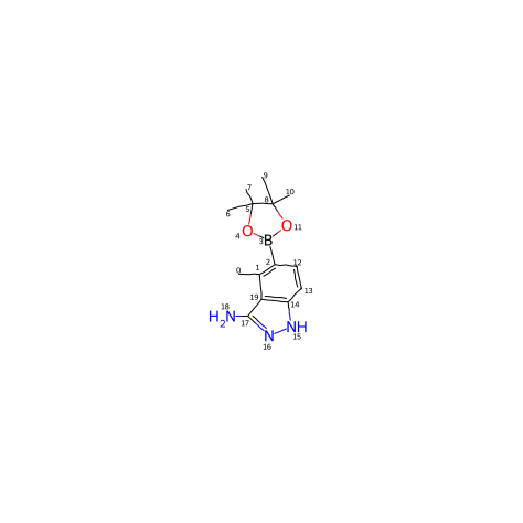 Cc1c(B2OC(C)(C)C(C)(C)O2)ccc2[nH]nc(N)c12